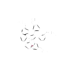 CCc1cccc(C2=C(c3cccc(CC)c3)[Si](c3ccccc3)(c3ccccc3)C(c3cccc(CC)c3)=C2c2cccc(CC)c2)c1